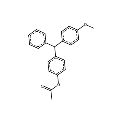 COc1ccc(C(c2ccccc2)c2ccc(OC(C)=O)cc2)cc1